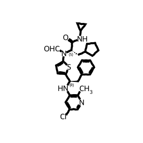 Cc1ncc(Cl)cc1N[C@H](Cc1ccccc1)c1ccc(N(C=O)[C@@H](CC2CCCC2)C(=O)NC2CC2)s1